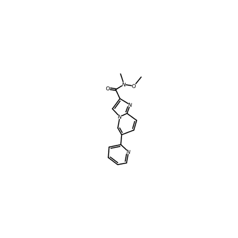 CON(C)C(=O)c1cn2cc(-c3ccccn3)ccc2n1